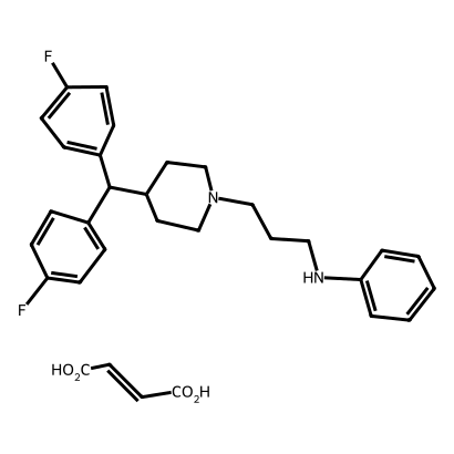 Fc1ccc(C(c2ccc(F)cc2)C2CCN(CCCNc3ccccc3)CC2)cc1.O=C(O)C=CC(=O)O